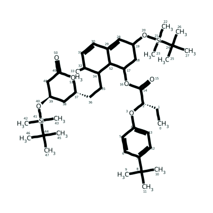 CC[C@H](Oc1ccc(C(C)(C)C)cc1)C(=O)OC1CC(O[Si](C)(C)C(C)(C)C)C=C2C=CC(C)C(CC[C@@H]3C[C@@H](O[Si](C)(C)C(C)(C)C)CC(=O)O3)C21